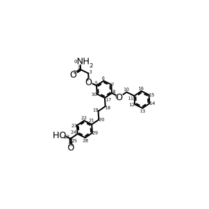 NC(=O)COc1ccc(OCc2ccccc2)c(CCCc2ccc(C(=O)O)cc2)c1